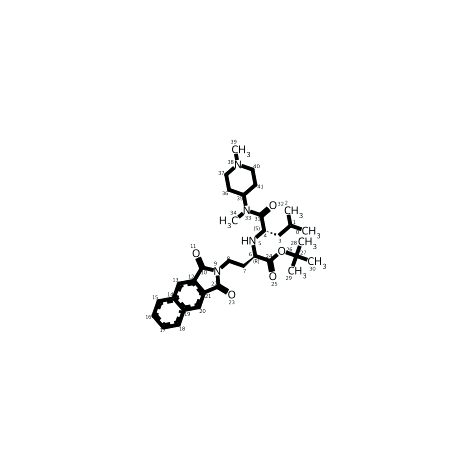 CC(C)C[C@H](N[C@H](CCN1C(=O)c2cc3ccccc3cc2C1=O)C(=O)OC(C)(C)C)C(=O)N(C)C1CCN(C)CC1